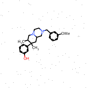 COc1cccc(CN2CCN3CC(C)C(C)(c4cccc(O)c4)CC3C2)c1